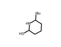 CC(C)(C)C1CCCC(O)N1